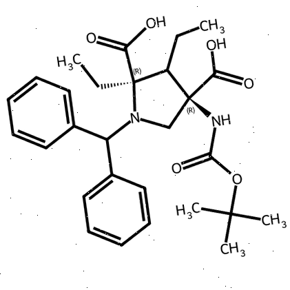 CCC1[C@](CC)(C(=O)O)N(C(c2ccccc2)c2ccccc2)C[C@@]1(NC(=O)OC(C)(C)C)C(=O)O